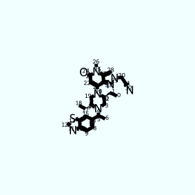 CC[C@H]1CN(C(C)c2ccc3ncsc3c2)[C@H](CC)CN1c1cc(=O)n(C)c2cn(CC#N)nc12